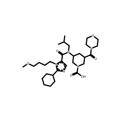 COCCCCn1c(C(=O)N(CC(C)C)C2CC(C(=O)N3CCOCC3)CN(C(=O)O)C2)cnc1C1CCCCC1